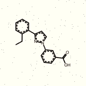 CCc1ccccc1-c1ccn(-c2cccc(C(=O)O)c2)n1